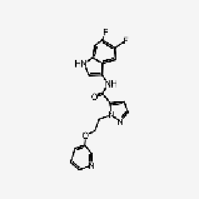 O=C(Nc1c[nH]c2cc(F)c(F)cc12)c1ccnn1CCOc1cccnc1